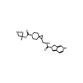 CC(=O)NCC(C)(C)OC(=O)N1CCC2(CC1)CC2CNC(=O)N1C=C2C=CNC=C2C1